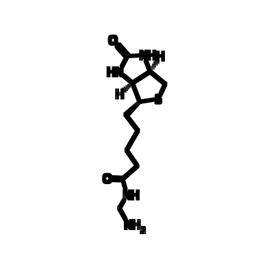 NCNC(=O)CCCC[C@@H]1SC[C@@H]2NC(=O)N[C@@H]21